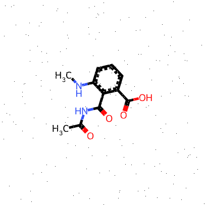 CNc1cccc(C(=O)O)c1C(=O)NC(C)=O